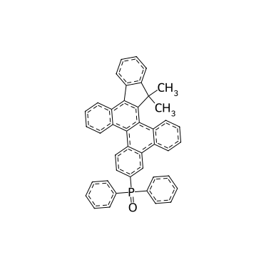 CC1(C)c2ccccc2-c2c1c1c3ccccc3c3cc(P(=O)(c4ccccc4)c4ccccc4)ccc3c1c1ccccc21